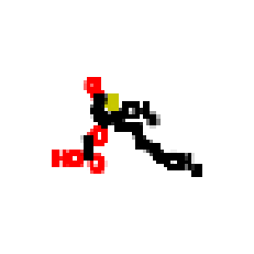 CCCCCC[C@@]1(C)SC(=O)C=C1OCC(=O)O